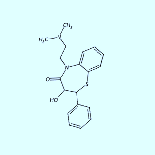 CN(C)CCN1C(=O)C(O)C(c2ccccc2)Sc2ccccc21